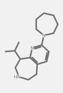 CC(C)C1CNCCc2ccc(N3CCCCCC3)nc21